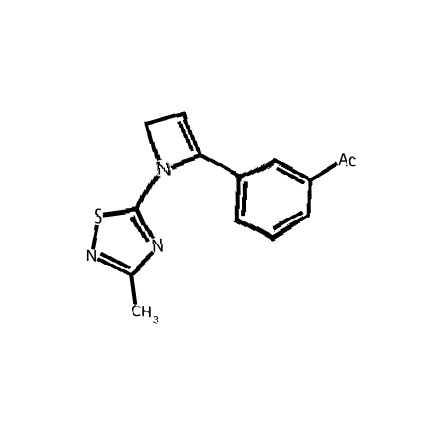 CC(=O)c1cccc(C2=CCN2c2nc(C)ns2)c1